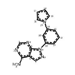 Nc1ncnc2c1cnn2-c1cccc(-n2cccc2)c1